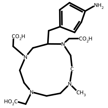 CN1CCN(CC(=O)O)CCN(CC(=O)O)CC(Cc2ccc(N)cc2)N(CC(=O)O)CC1